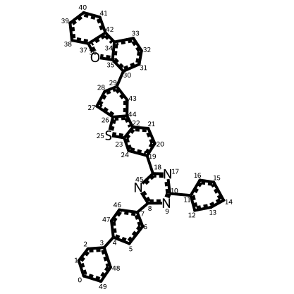 c1ccc(-c2ccc(-c3nc(-c4ccccc4)nc(-c4ccc5c(c4)sc4ccc(-c6cccc7c6oc6ccccc67)cc45)n3)cc2)cc1